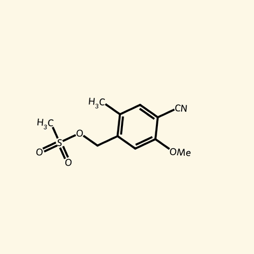 COc1cc(COS(C)(=O)=O)c(C)cc1C#N